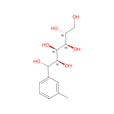 Cc1cccc(C(O)[C@H](O)[C@@H](O)[C@H](O)[C@H](O)CO)c1